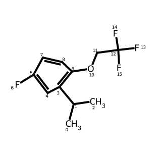 CC(C)c1cc(F)ccc1OCC(F)(F)F